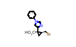 O=C(O)[C@]1(c2cn(-c3ccccc3)cn2)C[C@@H]1CBr